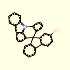 Bc1ccc2c(c1)C1(c3ccccc3-2)c2ccccc2-n2c3ccccc3c3cccc1c32